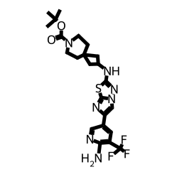 CC(C)(C)OC(=O)N1CCC2(CC1)CC(Nc1nn3cc(-c4cnc(N)c(C(F)(F)F)c4)nc3s1)C2